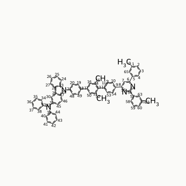 Cc1cccc(-c2cc(-c3ccc(-c4c(C)cc(-c5ccc(-n6c7ccccc7c7cc(N(c8ccccc8)c8ccccc8)ccc76)cc5)cc4C)cc3)nc(-c3cccc(C)c3)n2)c1